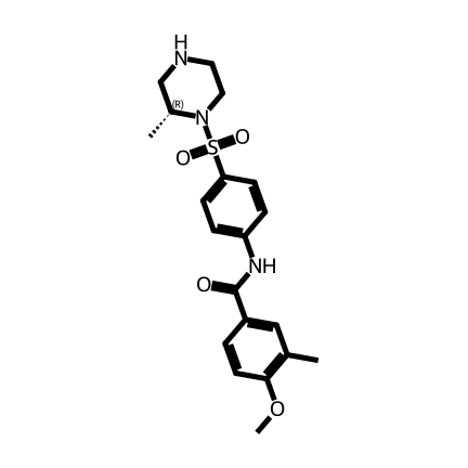 COc1ccc(C(=O)Nc2ccc(S(=O)(=O)N3CCNC[C@H]3C)cc2)cc1C